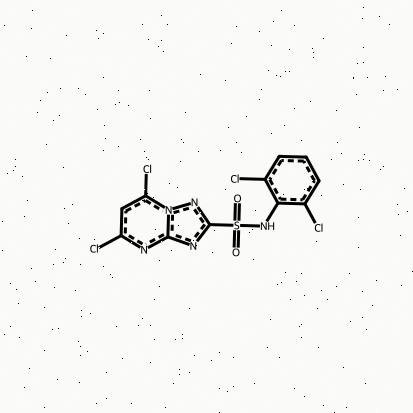 O=S(=O)(Nc1c(Cl)cccc1Cl)c1nc2nc(Cl)cc(Cl)n2n1